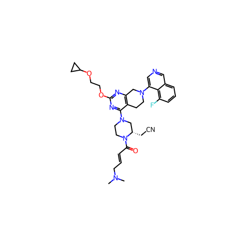 CN(C)C/C=C/C(=O)N1CCN(c2nc(OCCOC3CC3)nc3c2CCN(c2cncc4cccc(F)c24)C3)C[C@@H]1CC#N